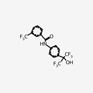 O=C(Nc1ccc(C(O)(C(F)(F)F)C(F)(F)F)cc1)c1cccc(C(F)(F)F)c1